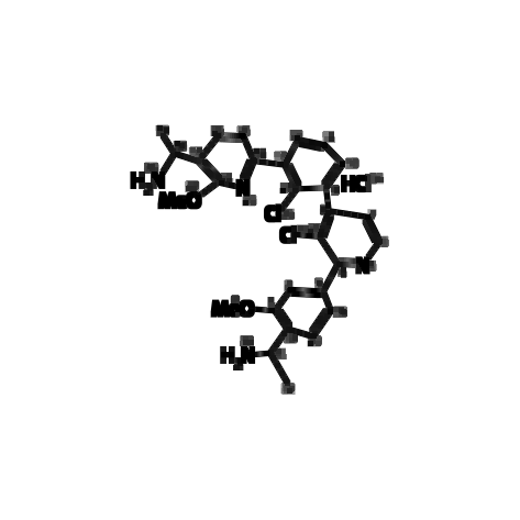 COc1cc(-c2nccc(-c3cccc(-c4ccc(C(C)N)c(OC)n4)c3Cl)c2Cl)ccc1C(C)N.Cl